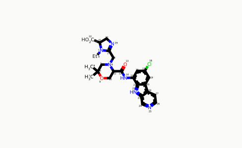 CCN1C(CN2CC(C)(C)OCC2C(=O)Nc2cc(Cl)cc3c2[nH]c2cnccc23)=NCC1C(=O)O